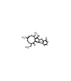 C=C1C(=O)C(CC)CC/C(C)=C\CC(C)/C1=C(\Br)N(N)Cc1ccccc1F